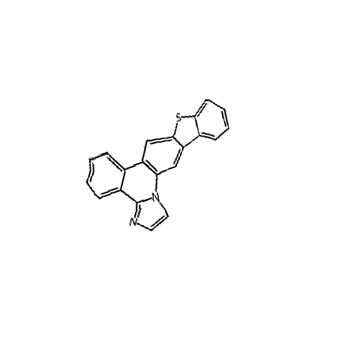 c1ccc2c(c1)sc1cc3c4ccccc4c4nccn4c3cc12